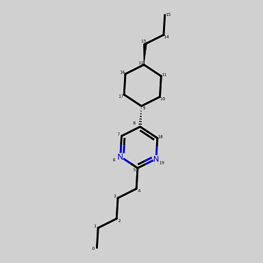 CCCCCc1ncc([C@H]2CC[C@H](CCC)CC2)cn1